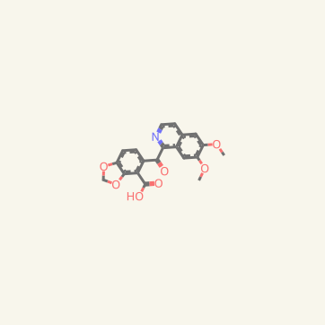 COc1cc2ccnc(C(=O)c3ccc4c(c3C(=O)O)OCO4)c2cc1OC